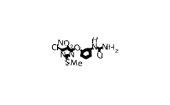 CSc1nc(Cl)c([N+](=O)[O-])c(Oc2cccc(NC(N)=O)c2)n1